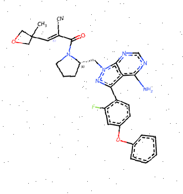 CC1(/C=C(\C#N)C(=O)N2CCC[C@H]2Cn2nc(-c3ccc(Oc4ccccc4)cc3F)c3c(N)ncnc32)COC1